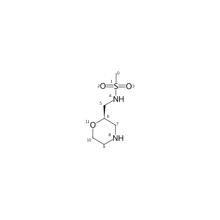 CS(=O)(=O)NC[C@H]1CNCCO1